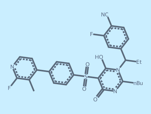 CCCCc1nc(=O)c(S(=O)(=O)c2ccc(-c3ccnc(F)c3C)cc2)c(O)n1C(CC)c1ccc(C#N)c(F)c1